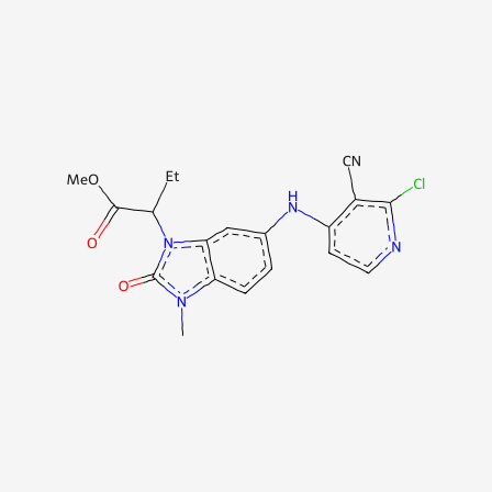 CCC(C(=O)OC)n1c(=O)n(C)c2ccc(Nc3ccnc(Cl)c3C#N)cc21